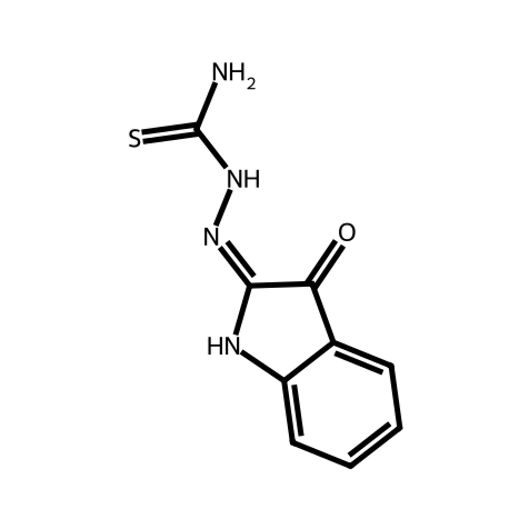 NC(=S)NN=C1Nc2ccccc2C1=O